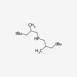 CC(CPCC(C)CC(C)(C)C)CC(C)(C)C